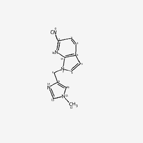 [C-]#[N+]c1ccc2ccn(Cc3cn(C)cn3)c2n1